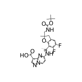 C[C@@H](Nc1ccn2ncc(C(=O)O)c2n1)c1c(F)c(F)cc2c1OC(C)(CNC(=O)OC(C)(C)C)C2